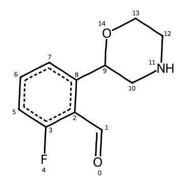 O=Cc1c(F)cccc1C1CNCCO1